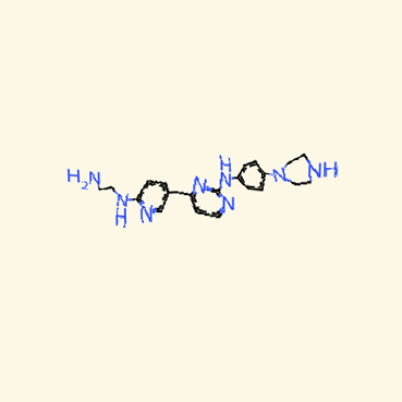 NCCNc1ccc(-c2ccnc(Nc3ccc(N4CCNCC4)cc3)n2)cn1